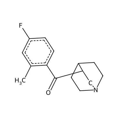 Cc1cc(F)ccc1C(=O)C1CN2CCC1CC2